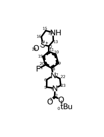 CC(C)(C)OC(=O)N1CCN(c2ccc(C3CNCC[S+]3[O-])cc2F)CC1